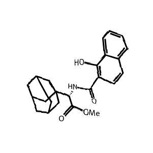 COC(=O)[C@@H](NC(=O)c1ccc2ccccc2c1O)C12CC3CC(CC(C3)C1)C2